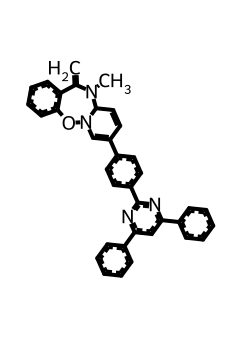 C=C1c2ccccc2ON2C=C(c3ccc(-c4nc(-c5ccccc5)cc(-c5ccccc5)n4)cc3)C=CC2N1C